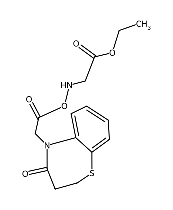 CCOC(=O)CNOC(=O)CN1C(=O)CCSc2ccccc21